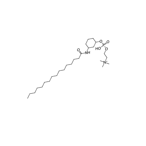 CCCCCCCCCCCCCCCC(=O)NC1CCCC(OP(=O)(O)OCC[N+](C)(C)C)C1